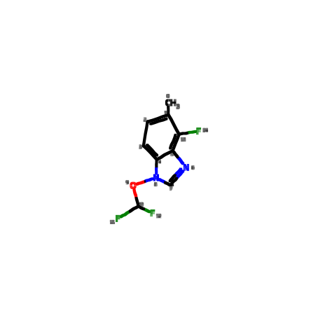 Cc1ccc2c(n[c]n2OC(F)F)c1F